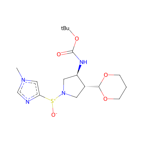 Cn1cnc([S+]([O-])N2C[C@@H](NC(=O)OC(C)(C)C)[C@H](C3OCCCO3)C2)c1